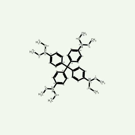 CO[SiH](OC)c1ccc(C(c2ccc([SiH](OC)OC)cc2)(c2ccc([SiH](OC)OC)cc2)c2ccc([SiH](OC)OC)cc2)cc1